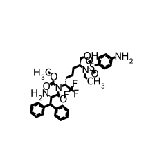 CCN([C@H](CO)CCC[C@@H](N(C(=O)OC)C(=O)[C@@H](N)C(c1ccccc1)c1ccccc1)C(F)(F)F)S(=O)(=O)c1ccc(N)cc1